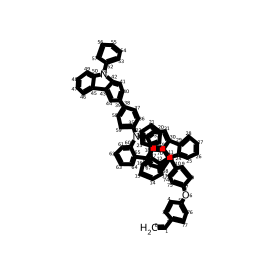 C=Cc1ccc(Oc2ccc(C3(c4ccccc4-c4ccccc4)c4ccccc4-c4ccc(N(c5ccc(-c6ccc7c(c6)c6ccccc6n7-c6ccccc6)cc5)c5ccccc5-c5ccccc5)cc43)cc2)cc1